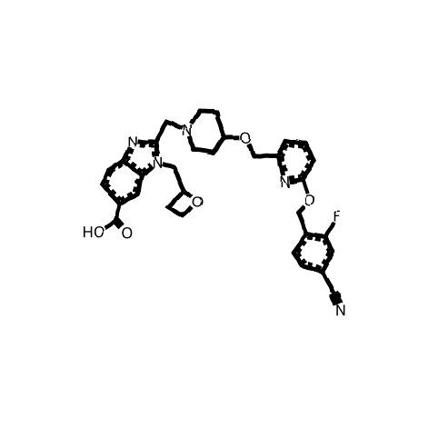 N#Cc1ccc(COc2cccc(COC3CCN(Cc4nc5ccc(C(=O)O)cc5n4CC4CCO4)CC3)n2)c(F)c1